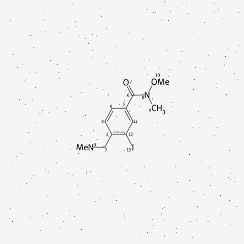 CNCc1ccc(C(=O)N(C)OC)cc1I